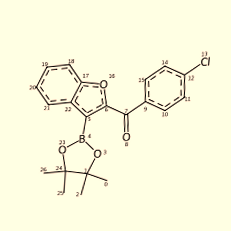 CC1(C)OB(c2c(C(=O)c3ccc(Cl)cc3)oc3ccccc23)OC1(C)C